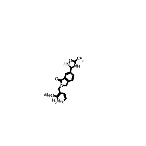 CC/C=C\C(CN1Cc2ccc(C3NOC(C(F)(F)F)N3)cc2C1=O)=C(/N)OC